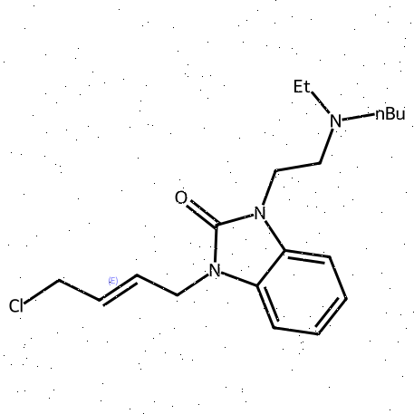 CCCCN(CC)CCn1c(=O)n(C/C=C/CCl)c2ccccc21